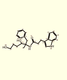 CC(Cc1ccccc1)(NC(=O)[CH]Cc1c[nH]c2ccccc12)C(O)CCCO